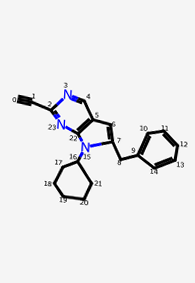 C#Cc1ncc2cc(Cc3ccccc3)n(C3CCCCC3)c2n1